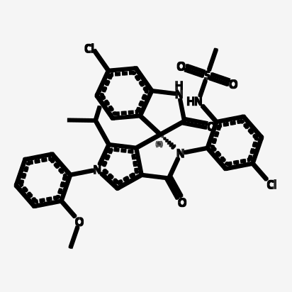 COc1ccccc1-n1cc2c(c1C(C)C)[C@@]1(C(=O)Nc3cc(Cl)ccc31)N(c1cc(Cl)ccc1NS(C)(=O)=O)C2=O